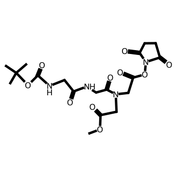 COC(=O)CN(CC(=O)ON1C(=O)CCC1=O)C(=O)CNC(=O)CNC(=O)OC(C)(C)C